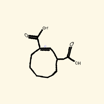 O=C(O)/C1=C/C(C(=O)O)CCCCC1